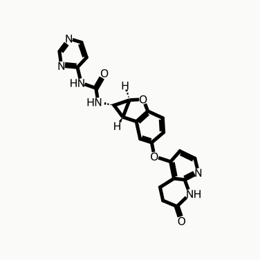 O=C1CCc2c(Oc3ccc4c(c3)[C@H]3[C@H](NC(=O)Nc5ccncn5)[C@H]3O4)ccnc2N1